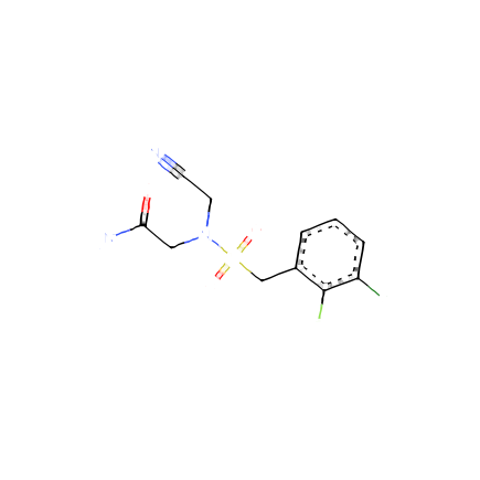 N#CCN(CC(N)=O)S(=O)(=O)Cc1cccc(Cl)c1F